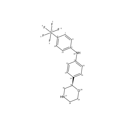 FS(F)(F)(F)(F)c1ccc(Nc2ccc([C@@H]3CNCCO3)cc2)cc1